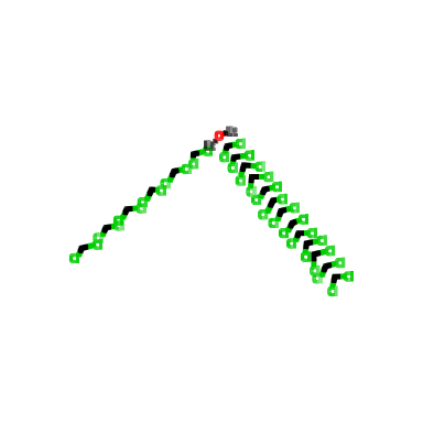 CCOCC.ClCCl.ClCCl.ClCCl.ClCCl.ClCCl.ClCCl.ClCCl.ClCCl.ClCCl.ClCCl.ClCCl.ClCCl.ClCCl.ClCCl.ClCCl.ClCCl.ClCCl.ClCCl.ClCCl